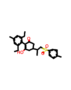 CCc1cc(C)cc(CC)c1C1=C(O)CC(C(C)CS(=O)(=O)c2ccc(C)cc2)CC1=O